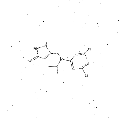 CC(C)N(Cc1cc(=O)[nH][nH]1)c1cc(Cl)cc(Cl)c1